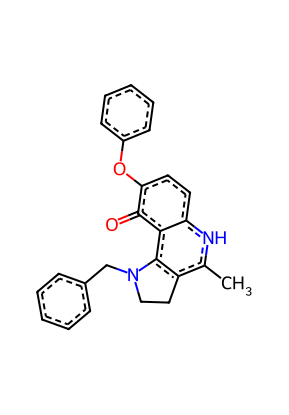 Cc1[nH]c2ccc(Oc3ccccc3)c(=O)c-2c2c1CCN2Cc1ccccc1